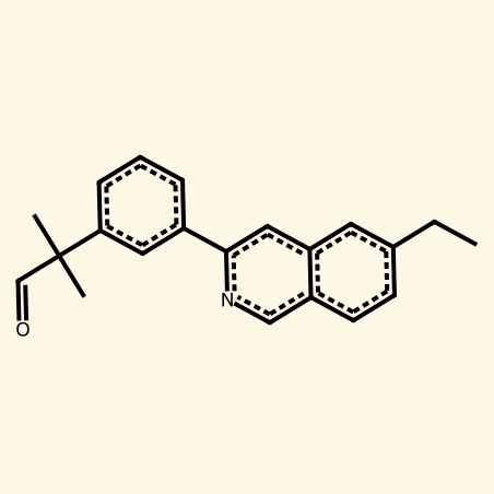 CCc1ccc2cnc(-c3cccc(C(C)(C)C=O)c3)cc2c1